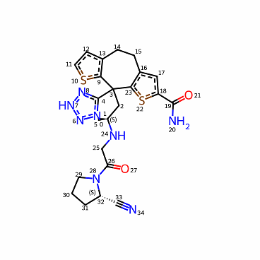 C[C@@H](CC1(c2nn[nH]n2)c2sccc2CCc2cc(C(N)=O)sc21)NCC(=O)N1CCC[C@H]1C#N